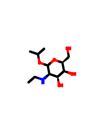 CCN[C@H]1C(OC(C)C)O[C@H](CO)[C@@H](O)[C@@H]1O